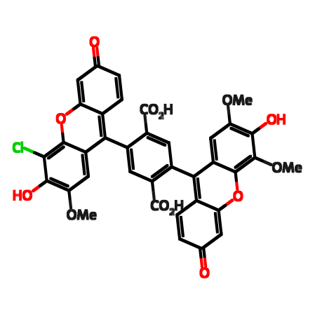 COc1cc2c(-c3cc(C(=O)O)c(-c4c5ccc(=O)cc-5oc5c(OC)c(O)c(OC)cc45)cc3C(=O)O)c3ccc(=O)cc-3oc2c(Cl)c1O